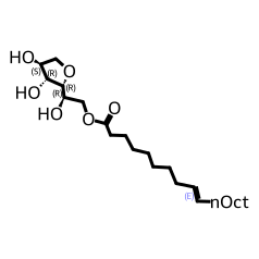 CCCCCCCC/C=C/CCCCCCCC(=O)OC[C@@H](O)[C@H]1OC[C@H](O)[C@H]1O